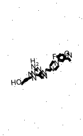 Cc1noc2cc(F)c(N3CCN(CCn4ncc5c4nc(N)n4nc(C#CCO)nc54)CC3)cc12